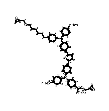 CCCCCCc1ccc(N(c2ccc(CCCCCCOCC3CO3)cc2)c2ccc(-c3ccc(-c4ccc(N(c5ccc(CCCCCC)cc5)c5ccc(C(CCCCC)OCC6CO6)cc5)cc4)s3)cc2)cc1